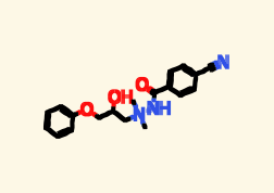 C[N+](C)(CC(O)COc1ccccc1)NC(=O)c1ccc(C#N)cc1